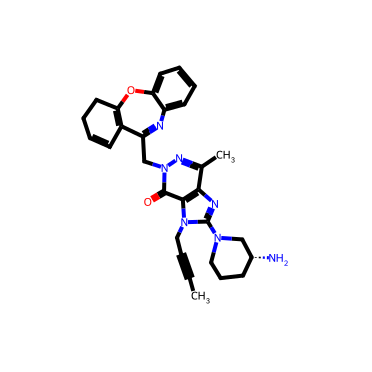 CC#CCn1c(N2CCC[C@@H](N)C2)nc2c(C)nn(CC3=Nc4ccccc4OC4=C3C=CCC4)c(=O)c21